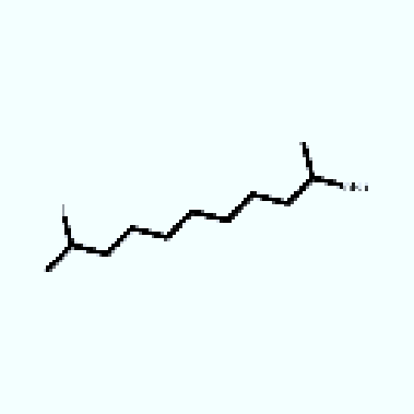 CCCCC(C)CCCCCCCC(C)I